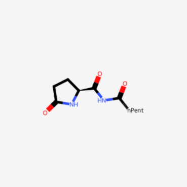 CCCCCC(=O)NC(=O)[C@@H]1CCC(=O)N1